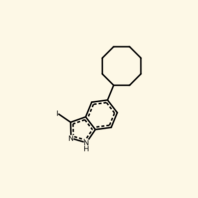 Ic1n[nH]c2ccc(C3CCCCCCC3)cc12